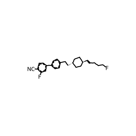 N#Cc1ccc(-c2ccc(CC[C@H]3CC[C@H](C=CCCCF)CC3)cc2)cc1F